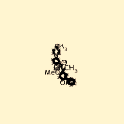 COc1cc(OC)c([C@@H](C)NC(=O)c2cc(N3CCN(C)CC3)ccc2C)cc1-c1ccccc1